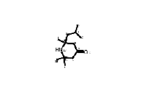 CC(C)CC1(C)CC(=O)CC(C)(C)N1